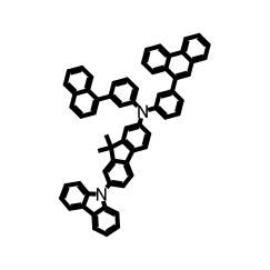 CC1(C)c2cc(N(c3cccc(-c4cccc5ccccc45)c3)c3cccc(-c4cc5ccccc5c5ccccc45)c3)ccc2-c2ccc(-n3c4ccccc4c4ccccc43)cc21